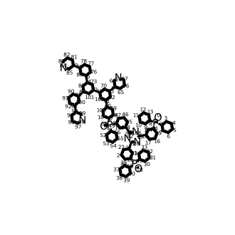 O=P(c1ccccc1)(c1ccccc1)c1cccc(-c2nc(-c3cccc(P(=O)(c4ccccc4)c4ccccc4)c3)nc(-c3cccc(P(=O)(c4ccccc4)c4ccc(-c5cc(-c6cccnc6)cc(-c6cc(-c7cccc(-c8cccnc8)c7)cc(-c7cccc(-c8cccnc8)c7)c6)c5)cc4)c3)n2)c1